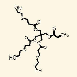 C=CC(=O)OCC(COC(=O)CCSCCO)(COC(=O)CCSCCO)COC(=O)CCSCCO